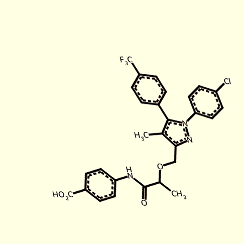 Cc1c(COC(C)C(=O)Nc2ccc(C(=O)O)cc2)nn(-c2ccc(Cl)cc2)c1-c1ccc(C(F)(F)F)cc1